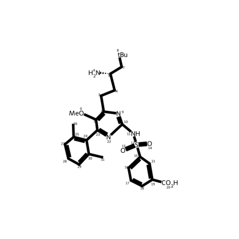 COc1c(CC[C@H](N)CC(C)(C)C)nc(NS(=O)(=O)c2cccc(C(=O)O)c2)nc1-c1c(C)cccc1C